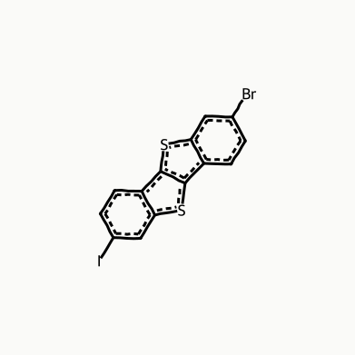 Brc1ccc2c(c1)sc1c3ccc(I)cc3sc21